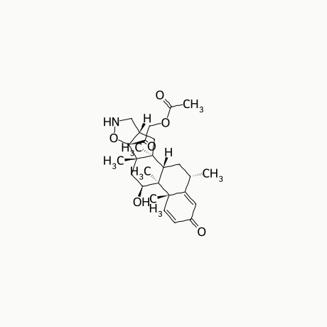 CC(=O)OCC(=O)[C@@]12ONC[C@@H]1C[C@@]1(C)[C@@H]3C[C@H](C)C4=CC(=O)C=C[C@]4(C)[C@@]3(C)[C@@H](O)C[C@@]12C